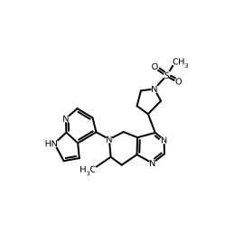 CC1Cc2ncnc(C3CCN(S(C)(=O)=O)C3)c2CN1c1ccnc2[nH]ccc12